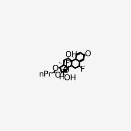 CCC[C@@H]1O[C@@H]2CC3C4C[C@H](F)C5=CC(=O)C=C[C@]5(C)[C@@]4(F)[C@@H](O)C[C@]3(C)[C@]2(C(=O)CO)O1